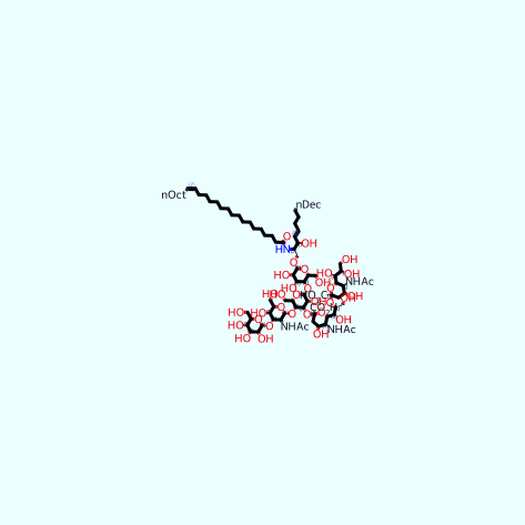 CCCCCCCC/C=C\CCCCCCCCCCCCCCCC(=O)N[C@@H](CO[C@@H]1OC(CO)[C@@H](O[C@@H]2OC(CO)[C@H](O[C@@H]3OC(CO)[C@H](O)[C@H](O[C@@H]4OC(CO)[C@H](O)[C@H](O)C4O)C3NC(C)=O)[C@H](O[C@]3(C(=O)O)CC(O)[C@@H](NC(C)=O)C([C@H](O)[C@@H](CO)O[C@]4(C(=O)O)CC(O)[C@@H](NC(C)=O)C([C@H](O)[C@H](O)CO)O4)O3)C2O)[C@H](O)C1O)[C@H](O)/C=C/CCCCCCCCCCCCC